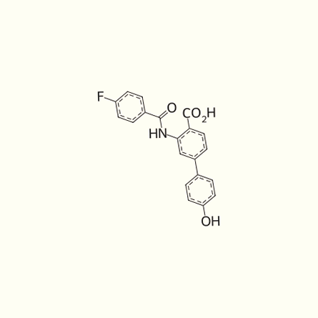 O=C(Nc1cc(-c2ccc(O)cc2)ccc1C(=O)O)c1ccc(F)cc1